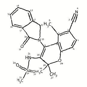 Cc1c(C#N)ccc2c1C(N1Cc3ccccc3C1=O)=C(NS(C)(=O)=O)C(C)(C)O2